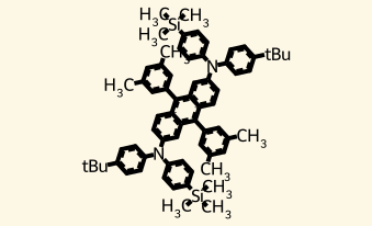 Cc1cc(C)cc(-c2c3ccc(N(c4ccc(C(C)(C)C)cc4)c4ccc([Si](C)(C)C)cc4)cc3c(-c3cc(C)cc(C)c3)c3ccc(N(c4ccc(C(C)(C)C)cc4)c4ccc([Si](C)(C)C)cc4)cc23)c1